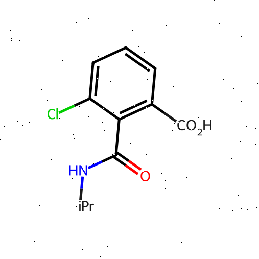 CC(C)NC(=O)c1c(Cl)cccc1C(=O)O